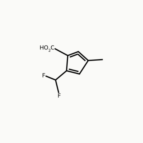 CC1=C=C(C(=O)O)C(C(F)F)=C1